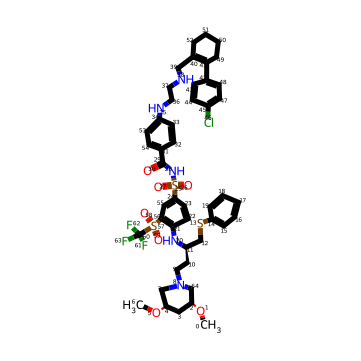 CO[C@@H]1C[C@H](OC)CN(CC[C@H](CSc2ccccc2)Nc2ccc(S(=O)(=O)NC(=O)c3ccc(NCCNCC4=C(c5ccc(Cl)cc5)CCCC4)cc3)cc2S(=O)(=O)C(F)(F)F)C1